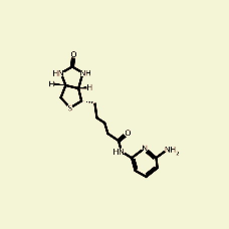 Nc1cccc(NC(=O)CCCC[C@@H]2SC[C@@H]3NC(=O)N[C@@H]32)n1